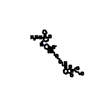 N/C=N/c1c(/C=N\C2CCN([S+]([O-])NCCOCCOCCNc3cccc4c3C(=O)N(C(C=O)CCC=O)C4=O)CC2)ccc(=O)n1C1CCCC1